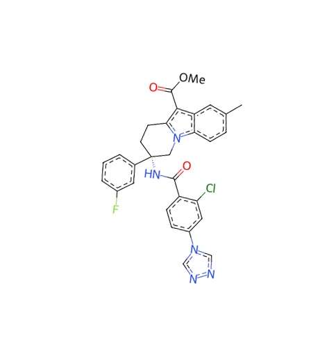 COC(=O)c1c2n(c3ccc(C)cc13)C[C@@](NC(=O)c1ccc(-n3cnnc3)cc1Cl)(c1cccc(F)c1)CC2